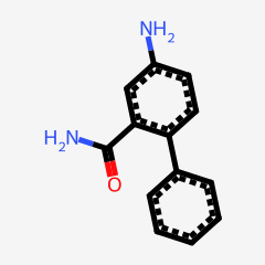 NC(=O)c1cc(N)ccc1-c1ccccc1